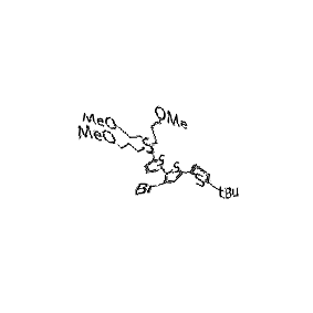 COCCCS(CCCOC)(CCCOC)c1ccc(-c2sc(-c3ccc(C(C)(C)C)s3)cc2Br)s1